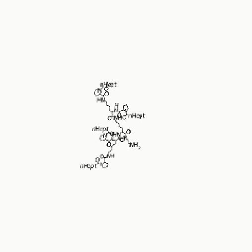 CCCCCCCC(=O)N1CCCC1C(=O)NCCCCC(NC(=O)C1CCCN1C(=O)CCCCCCC)C(=O)NCCCCC(NC(=O)C(CCCCNC(=O)C1CCCN1C(=O)CCCCCCC)NC(=O)C1CCCN1C(=O)CCCCCCC)C(=O)NCCN